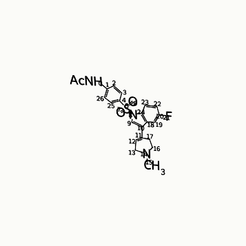 CC(=O)Nc1ccc(S(=O)(=O)n2cc(C3=CCN(C)CC3)c3cc(F)ccc32)cc1